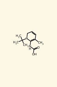 CC1=C(NC(=O)O)N(C(C)(C)C)CC=C1